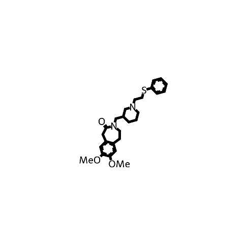 COc1cc2c(cc1OC)CC(=O)N(CC1CCCN(CCSc3ccccc3)C1)CC2